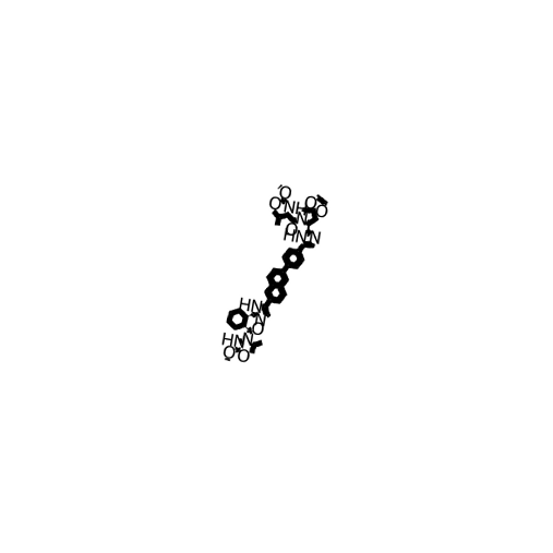 COC(=O)N[C@H](C(=O)N1CC2(C[C@H]1c1ncc(-c3ccc(-c4ccc5cc(-c6cnc([C@H]7CCCC[C@H]7C(=O)N(NC(=O)OC)C(C)C)[nH]6)ccc5c4)cc3)[nH]1)OCCO2)C(C)C